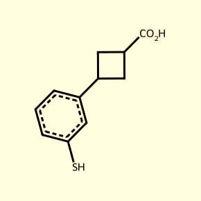 O=C(O)C1CC(c2cccc(S)c2)C1